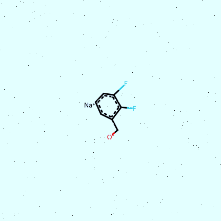 [Na+].[O-]Cc1cccc(F)c1F